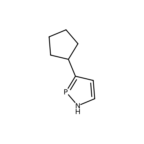 c1cc(C2CCCC2)p[nH]1